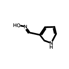 ON=CC1=CC=CNC1